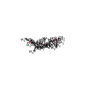 CC(C)C[C@H](NC(=O)[C@H](CCCCN)NC(=O)[C@H](C)NC(=O)[C@H](CC(C)C)NC(=O)[C@H](CCCCN)NC(=O)[C@H](CCCCN)NC(=O)[C@H](C)NC(=O)[C@H](CC(C)C)NC(=O)[C@H](CCCCN)NC(=O)[C@H](C)NC(=O)[C@H](CC(C)C)NC(=O)[C@@H](N)CCCCN)C(=O)N[C@@H](C)C(=O)N[C@@H](CCCCN)C(=O)O